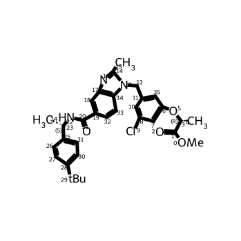 COC(=O)[C@@H](C)Oc1cc(Cl)cc(Cn2c(C)nc3cc(C(=O)N[C@@H](C)c4ccc(C(C)(C)C)cc4)ccc32)c1